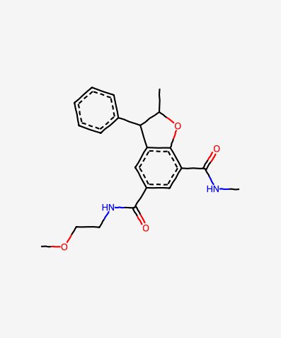 CNC(=O)c1cc(C(=O)NCCOC)cc2c1OC(C)C2c1ccccc1